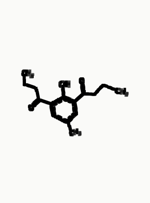 CCCC(=O)c1cc(C)cc(C(=O)CCC)c1O